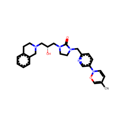 N#CC1=CON(c2ccc(CN3CCN(C[C@H](O)CN4CCc5ccccc5C4)C3=O)nc2)C=C1